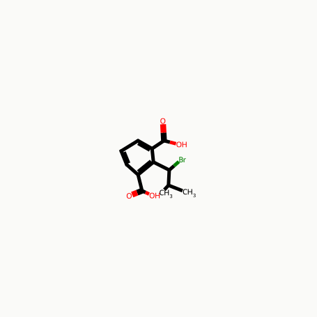 CC(C)C(Br)c1c(C(=O)O)cccc1C(=O)O